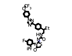 CCC(CNC(=O)/N=C1\SCC(=O)N1c1ccc(F)cc1C(C)C)c1ccc(-c2ncn(-c3ccc(OC(F)(F)F)cc3)n2)cc1